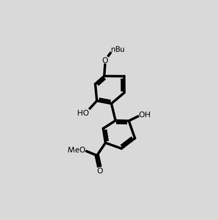 CCCCOc1ccc(-c2cc(C(=O)OC)ccc2O)c(O)c1